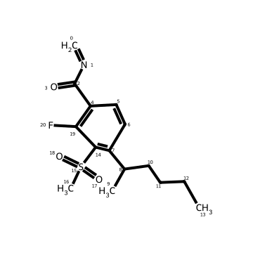 C=NC(=O)c1ccc(C(C)CCCC)c(S(C)(=O)=O)c1F